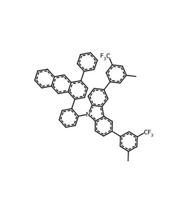 Cc1cc(-c2ccc3c(c2)c2cc(-c4cc(C)cc(C(F)(F)F)c4)ccc2n3-c2ccccc2-c2ccc(-c3ccccc3)c3cc4ccccc4cc23)cc(C(F)(F)F)c1